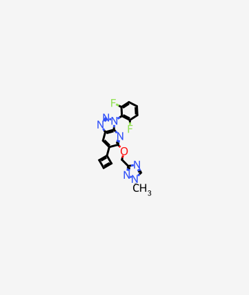 Cn1cnc(COc2nc3c(cc2C2=CC=C2)nnn3-c2c(F)cccc2F)n1